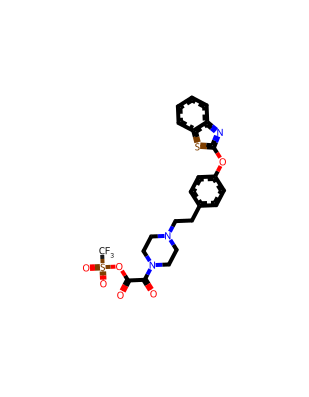 O=C(OS(=O)(=O)C(F)(F)F)C(=O)N1CCN(CCc2ccc(Oc3nc4ccccc4s3)cc2)CC1